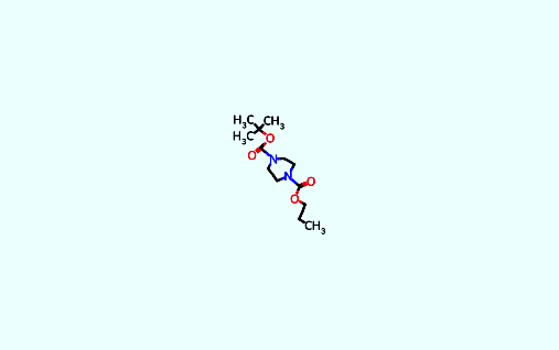 CCCOC(=O)N1CCN(C(=O)OC(C)(C)C)CC1